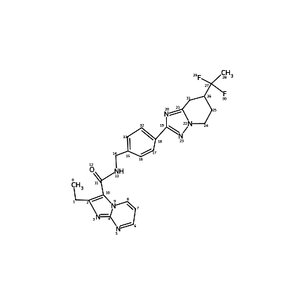 CCc1nc2ncccn2c1C(=O)NCc1ccc(-c2nc3n(n2)CCC(C(C)(F)F)C3)cc1